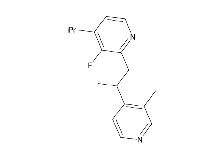 Cc1cnccc1C(C)Cc1nccc(C(C)C)c1F